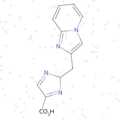 O=C(O)C1=NC(Cc2cn3ccccc3n2)N=C1